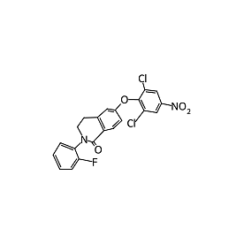 O=C1c2ccc(Oc3c(Cl)cc([N+](=O)[O-])cc3Cl)cc2CCN1c1ccccc1F